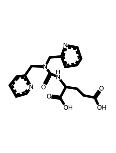 O=C(O)CCC(NC(=O)N(Cc1ccccn1)Cc1ccccn1)C(=O)O